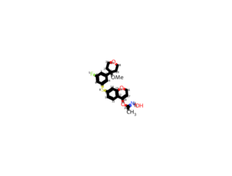 COC1(c2cc(F)cc(Sc3ccc4c(c3)OCC=C4OC(C)=NO)c2)CCOCC1